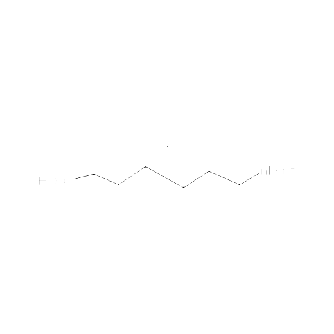 CCCCCCCCCCCC(=O)O.[V]